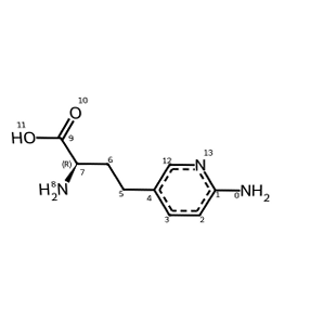 Nc1ccc(CC[C@@H](N)C(=O)O)cn1